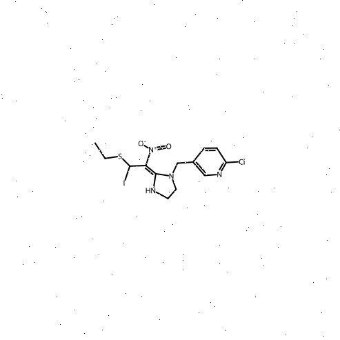 CCSC(I)C(=C1NCCN1Cc1ccc(Cl)nc1)[N+](=O)[O-]